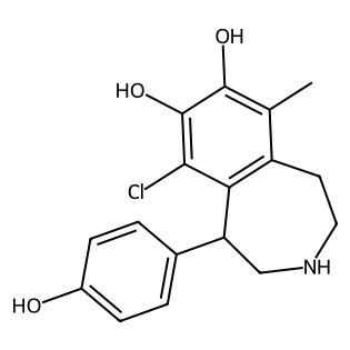 Cc1c(O)c(O)c(Cl)c2c1CCNCC2c1ccc(O)cc1